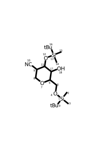 CC(C)(C)[Si](C)(C)OCC1OCC(C#N)C(O[Si](C)(C)C(C)(C)C)C1O